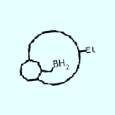 BCC1CC2CCCCCCCC(CC)CCCCCCC1CCC2